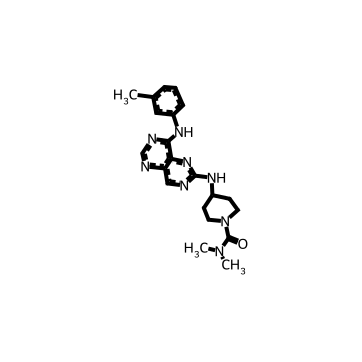 Cc1cccc(Nc2ncnc3cnc(NC4CCN(C(=O)N(C)C)CC4)nc23)c1